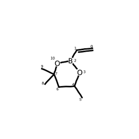 C=CB1OC(C)CC(C)(C)O1